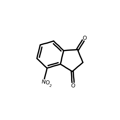 O=C1CC(=O)c2c1cccc2[N+](=O)[O-]